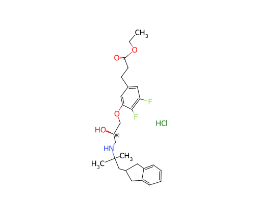 CCOC(=O)CCc1cc(F)c(F)c(OC[C@H](O)CNC(C)(C)CC2Cc3ccccc3C2)c1.Cl